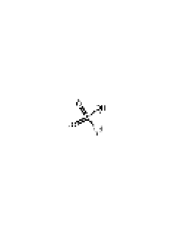 O=[S](=O)(O)[Gd]